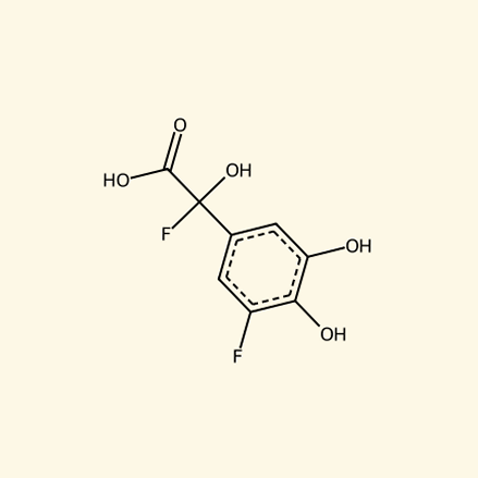 O=C(O)C(O)(F)c1cc(O)c(O)c(F)c1